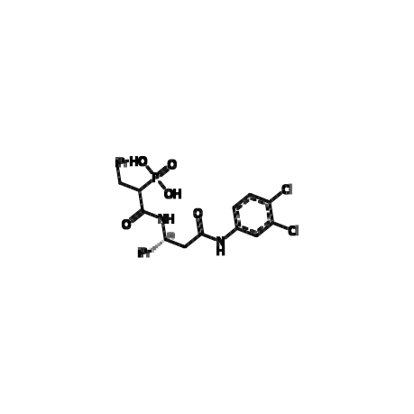 CC(C)CC(C(=O)N[C@H](CC(=O)Nc1ccc(Cl)c(Cl)c1)C(C)C)P(=O)(O)O